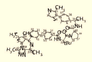 Cc1ncsc1-c1ccc(C(C)NC(=O)[C@@H]2CCCN2C(=O)C(NC(=O)c2ccc(-c3cccc(C4=N[C@@H](C)c5nnc(C)n5-c5sc(C)c(C)c54)c3)cc2)C(C)(C)C)cc1